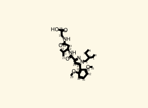 CCC(CC)Cn1nc(C(=O)NC(CC(=O)NCC(=O)O)C(C)C)cc1-c1c(OC)cccc1OC